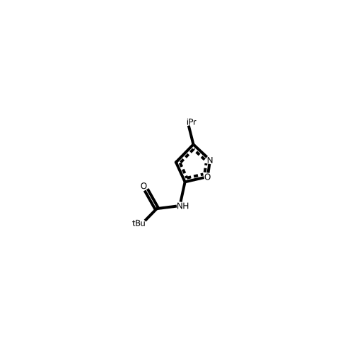 CC(C)c1cc(NC(=O)C(C)(C)C)on1